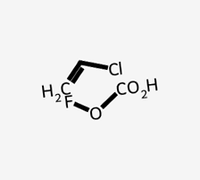 C=CCl.O=C(O)OF